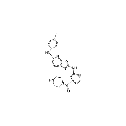 Cc1ccc(Nc2ccc3nc(Nc4cc(C(=O)N5CCNCC5)ccn4)sc3n2)cc1